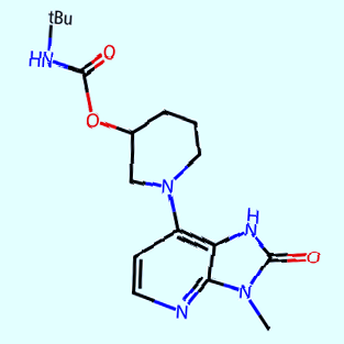 Cn1c(=O)[nH]c2c(N3CCCC(OC(=O)NC(C)(C)C)C3)ccnc21